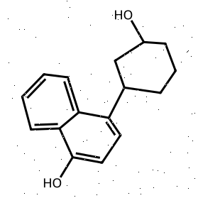 Oc1ccc(C2CCCC(O)C2)c2ccccc12